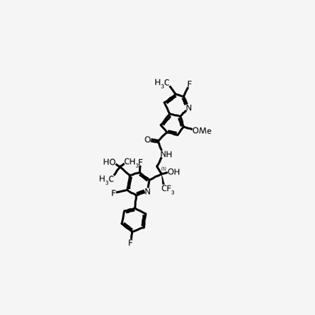 COc1cc(C(=O)NC[C@](O)(c2nc(-c3ccc(F)cc3)c(F)c(C(C)(C)O)c2F)C(F)(F)F)cc2cc(C)c(F)nc12